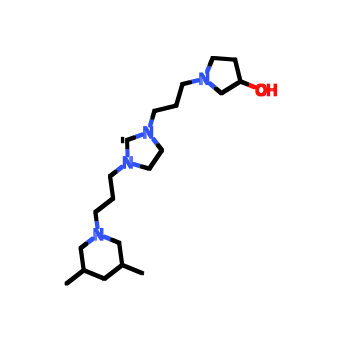 CC1CC(C)CN(CCCN2[C]N(CCCN3CCC(O)C3)CC2)C1